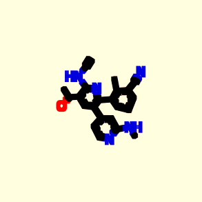 C#CNc1nc(-c2cccc(C#N)c2C)c(-c2ccnc(NC)c2)cc1C(C)=O